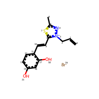 C=CC[n+]1nc(C)sc1/C=C/c1ccc(O)cc1O.[Br-]